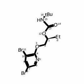 CC[C@@H](COc1ncc(Br)cc1Br)OC(=O)NC(C)(C)C